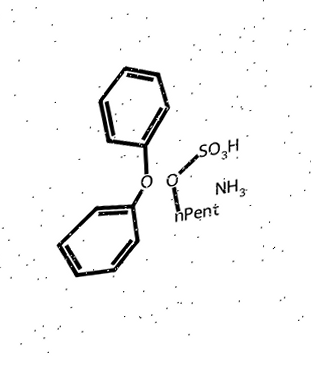 CCCCCOS(=O)(=O)O.N.c1ccc(Oc2ccccc2)cc1